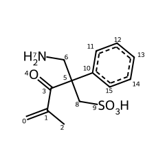 C=C(C)C(=O)C(CN)(CS(=O)(=O)O)c1ccccc1